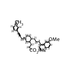 COc1ccc2nccc(CCC[C@@H]3CCN(CC#Cc4ccn(C)c4)C[C@@H]3CCC(=O)O)c2c1